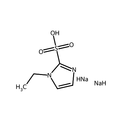 CCn1ccnc1S(=O)(=O)O.[NaH].[NaH]